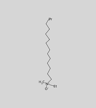 CC[N+](C)([O-])CCCCCCCCCCCCC(C)C